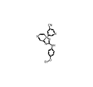 CCOc1ccc(NC2=N[N+]3(c4cncc(C#N)c4)C=CN=CC3=N2)cc1